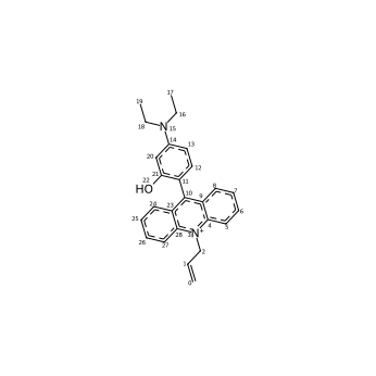 C=CC[n+]1c2ccccc2c(-c2ccc(N(CC)CC)cc2O)c2ccccc21